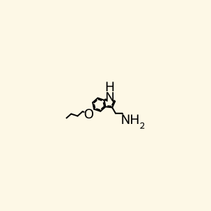 CCCCOc1ccc2[nH]cc(CCN)c2c1